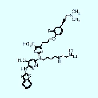 CCN(CC)CCNCCCCN(c1cc(C)c(Nc2nc3ccccc3s2)nn1)c1nc(C(=O)O)c(CCCOc2ccc(C#CCN(C)C)cc2F)s1